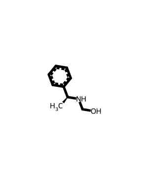 C[C@H](NCO)c1ccccc1